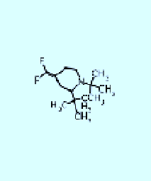 CC(C)(C)C1CC(=C(F)F)CCN1C(C)(C)C